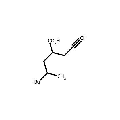 C#CCC(CC(C)C(C)CC)C(=O)O